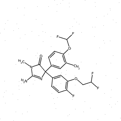 Cc1cc(C2(c3ccc(F)c(OCC(F)F)c3)N=C(N)N(C)C2=O)ccc1OC(F)F